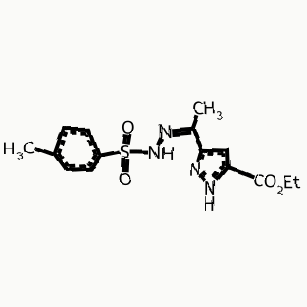 CCOC(=O)c1cc(/C(C)=N\NS(=O)(=O)c2ccc(C)cc2)n[nH]1